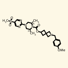 COc1ccc(CN2CC3(CC(OC(=O)N4[C@H](C)CN(c5ncc(S(C)(=O)=O)cn5)C[C@@H]4C)C3)C2)cc1